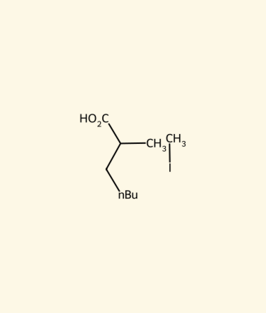 CCCCCC(C)C(=O)O.CI